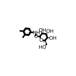 Cc1ccc(NOC2O[C@H](CO)[C@@H](O)[C@H](O)[C@H]2O)cc1C